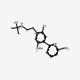 CCc1cc(-c2cccc(N)n2)c(OC)cc1CCNC(C)(C)CC